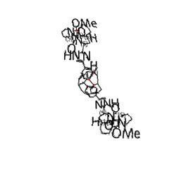 COC(=O)N1CCC[C@H]1C(=O)N1[C@H](c2nc(-c3ccc(C4=CC5=CCC4C[C@@H](C)c4ccc(c(-c6ccc(-c7c[nH]c([C@@H]8C[C@@H]9CCCC[C@@H]9N8C(=O)[C@@H]8CCCN8C(=O)OC)n7)cc6)c4)CC5)cc3)c[nH]2)C[C@@H]2CCCC[C@@H]21